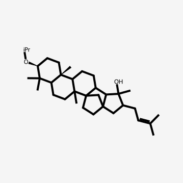 CC(C)=CCC1CC23CCC4(C2)C(CCC2C4(C)CCC4C(C)(C)[C@@H](OC(C)C)CC[C@@]42C)C3C1(C)O